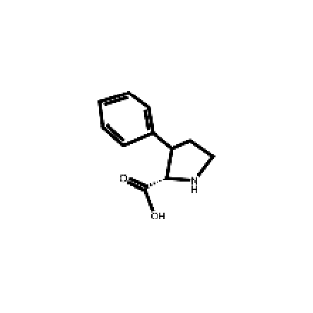 O=C(O)[C@H]1NCCC1c1ccccc1